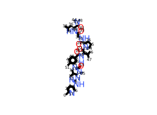 Cc1ccc(NC2=NC3C(C=N2)CN(c2cc(C(=O)N[C@H](C(=O)N4CCC[C@@H]4C(=O)NCC(=O)N[C@@H](CC(C)C)C(=O)N(C)C)C(C)C)ccc2C)C(=O)N3C)cn1